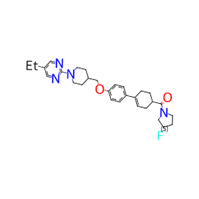 CCc1cnc(N2CCC(COc3ccc(C4=CCC(C(=O)N5CC[C@H](F)C5)CC4)cc3)CC2)nc1